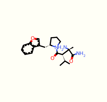 CC(C)[C@H](C(=O)N1CCC[C@H]1Cc1coc2ccccc12)[C@](C)(N)C(N)=O